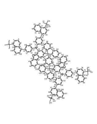 CC(C)(C)c1cccc2c(-c3ccc(N(c4ccc(-c5ccc(C(C)(C)C)c6ccccc56)cc4)c4cc5c(c6c4oc4ccccc46)-c4cc6c(cc4C54c5ccccc5-c5ccccc54)-c4c(cc(N(c5ccc(-c7ccc(C(C)(C)C)c8ccccc78)cc5)c5ccc(-c7ccc(C(C)(C)C)c8ccccc78)cc5)c5oc7ccccc7c45)C64c5ccccc5-c5ccccc54)cc3)cccc12